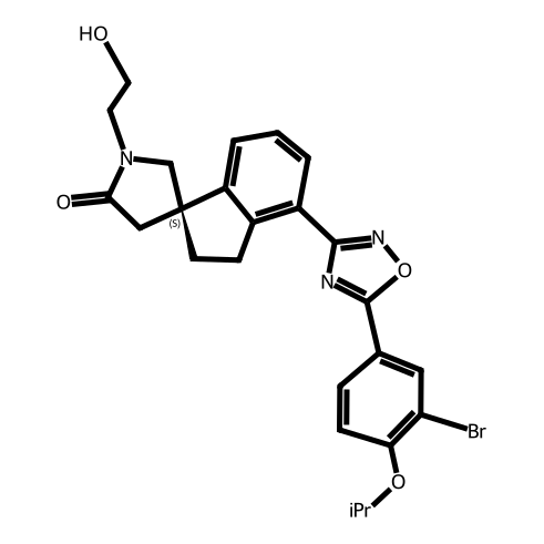 CC(C)Oc1ccc(-c2nc(-c3cccc4c3CC[C@]43CC(=O)N(CCO)C3)no2)cc1Br